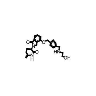 C=C1CCC(N2Cc3c(OCc4ccc(CNCCO)cc4)cccc3C2=O)C(=O)N1